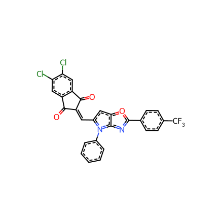 O=C1C(=Cc2cc3oc(-c4ccc(C(F)(F)F)cc4)nc3n2-c2ccccc2)C(=O)c2cc(Cl)c(Cl)cc21